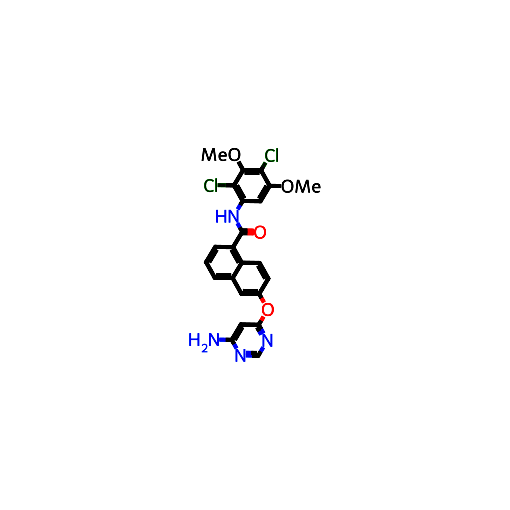 COc1cc(NC(=O)c2cccc3cc(Oc4cc(N)ncn4)ccc23)c(Cl)c(OC)c1Cl